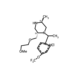 COCCOC[C@@H]1CN[C@@H](C)CN1C(C)c1ccc(OC(F)(F)F)cc1.Cl